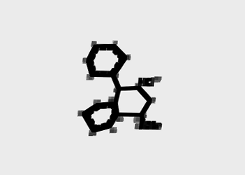 CN[C@@H]1CCC(c2ccccc2)c2ccccc21.Cl